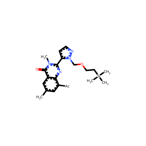 CC(=O)c1cc(C)cc2c(=O)n(C)c(-c3ccnn3COCC[Si](C)(C)C)nc12